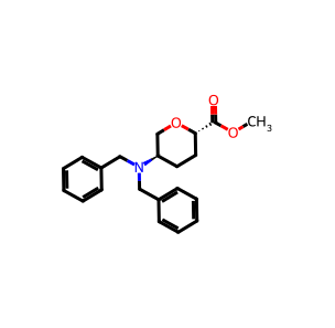 COC(=O)[C@@H]1CC[C@@H](N(Cc2ccccc2)Cc2ccccc2)CO1